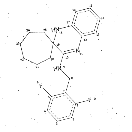 Fc1cccc(F)c1CNC1=Nc2ccccc2NC12CCCCCC2